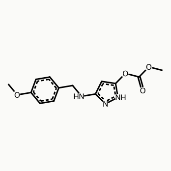 COC(=O)Oc1cc(NCc2ccc(OC)cc2)n[nH]1